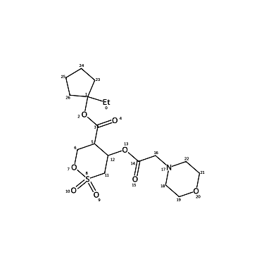 CCC1(OC(=O)C2COS(=O)(=O)CC2OC(=O)CN2CCOCC2)CCCC1